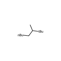 [CH2]C(C)(C)C(C)CCCCC